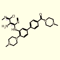 C=N/C(Nc1cc(-c2ccc(C(=O)N3CCN(C)CC3)cc2)ccc1N1CCN(C)CC1)=C(N)\C(Cl)=N/C